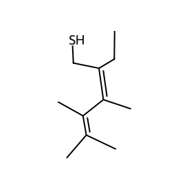 CC/C(CS)=C(\C)C(C)=C(C)C